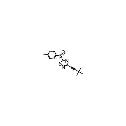 Cc1ccc([S+]([O-])c2nc(C#CC(C)(C)C)ns2)cc1